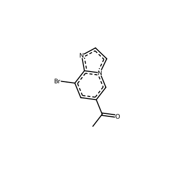 CC(=O)c1cc(Br)c2nccn2c1